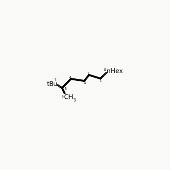 CCCCCCCCCCC(C)C(C)(C)C